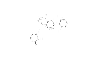 CC1(C)[C@H]2CC[C@]1(COc1cncc(=O)[nH]1)c1nnc(-c3c(F)cccc3F)cc12